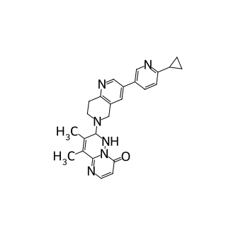 CC1=C(C)C(N2CCc3ncc(-c4ccc(C5CC5)nc4)cc3C2)Nn2c1nccc2=O